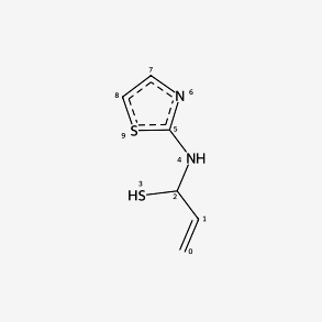 C=CC(S)Nc1nccs1